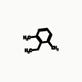 CCc1c(C)[c]ccc1C